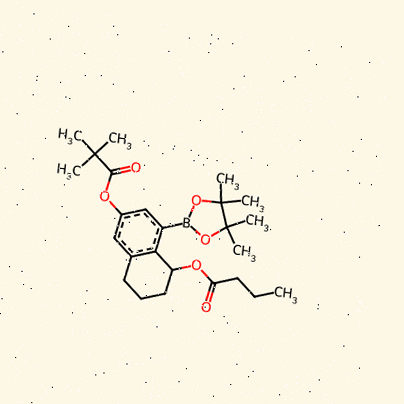 CCCC(=O)OC1CCCc2cc(OC(=O)C(C)(C)C)cc(B3OC(C)(C)C(C)(C)O3)c21